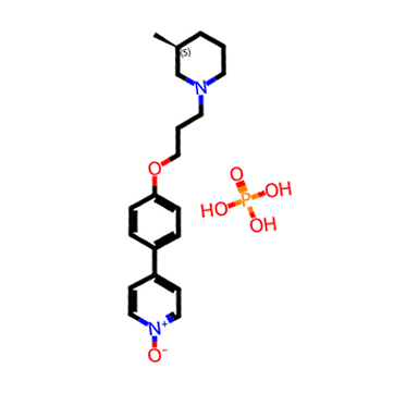 C[C@H]1CCCN(CCCOc2ccc(-c3cc[n+]([O-])cc3)cc2)C1.O=P(O)(O)O